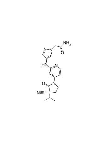 CC(C)[C@]1(C#N)CCN(c2ccnc(Nc3cnn(CC(N)=O)c3)n2)C1=O